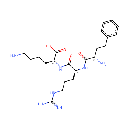 N=C(N)NCCC[C@H](NC(=O)[C@@H](N)CCc1ccccc1)C(=O)N[C@@H](CCCCN)C(=O)O